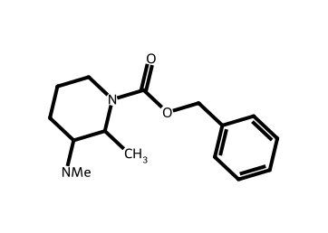 CNC1CCCN(C(=O)OCc2ccccc2)C1C